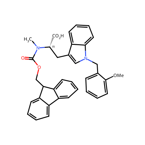 COc1ccccc1Cn1cc(C[C@@H](C(=O)O)N(C)C(=O)OCC2c3ccccc3-c3ccccc32)c2ccccc21